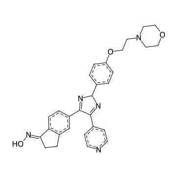 ON=C1CCc2cc(C3=NC(c4ccc(OCCN5CCOCC5)cc4)N=C3c3ccncc3)ccc21